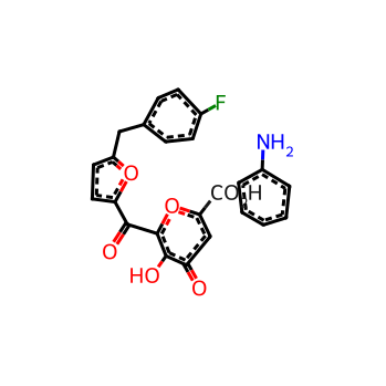 Nc1ccccc1.O=C(O)c1cc(=O)c(O)c(C(=O)c2ccc(Cc3ccc(F)cc3)o2)o1